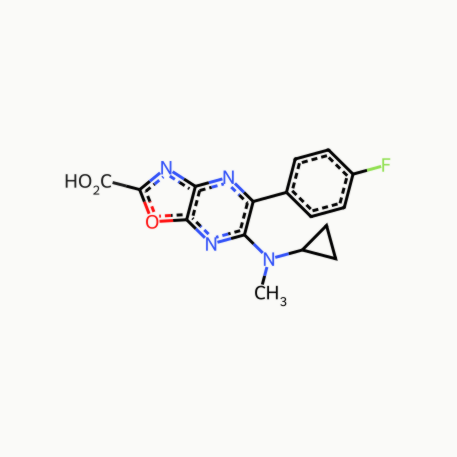 CN(c1nc2oc(C(=O)O)nc2nc1-c1ccc(F)cc1)C1CC1